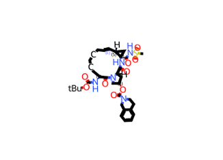 CC(C)(C)OC(=O)N[C@H]1CCCCC/C=C/[C@@H]2C[C@@]2(C(=O)NS(C)(=O)=O)NC(=O)[C@@H]2C[C@@H](OC(=O)N3CCc4ccccc4C3)CN2C1=O